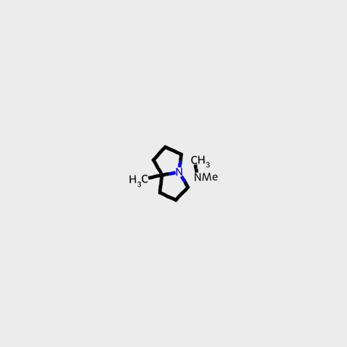 CC12CCCN1CCC2.CNC